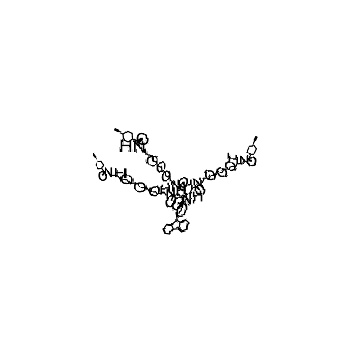 C#CC1CCC(C(=O)NCCCOCCOCCOCCCNC(=O)CCC(CCC(=O)NCCCOCCOCCOCCCNC(=O)C2CCC(C#C)CC2)(CCC(=O)NCCCOCCOCCOCCCNC(=O)C2CCC(C#C)CC2)NC(=O)OCC2c3ccccc3-c3ccccc32)CC1